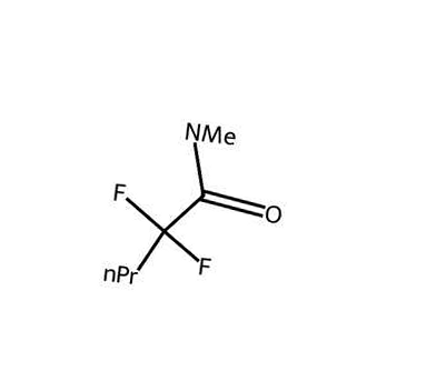 CCCC(F)(F)C(=O)NC